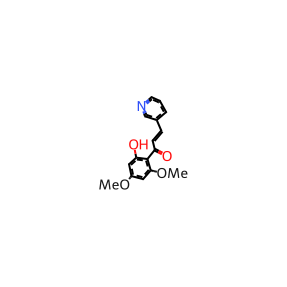 COc1cc(O)c(C(=O)/C=C/c2cccnc2)c(OC)c1